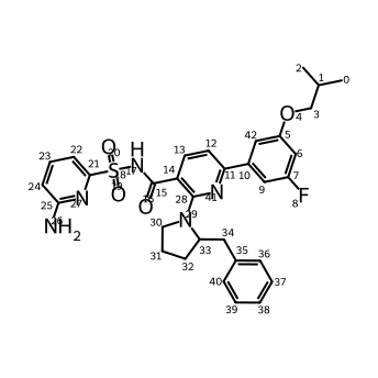 CC(C)COc1cc(F)cc(-c2ccc(C(=O)NS(=O)(=O)c3cccc(N)n3)c(N3CCCC3Cc3ccccc3)n2)c1